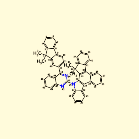 CC1(C)c2ccccc2-c2ccc(-c3nc(-n4c5ccccc5c5c6ccccc6c6c(c54)C(C)(C)c4ccccc4-6)nc4ccccc34)cc21